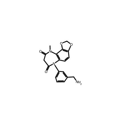 CN1C(=O)CC(=O)N(c2cccc(CN)c2)c2ccc3c(c21)OCO3